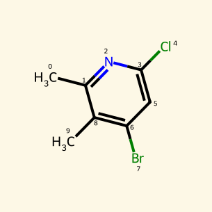 Cc1nc(Cl)cc(Br)c1C